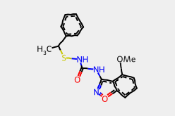 COc1cccc2onc(NC(=O)NSC(C)c3ccccc3)c12